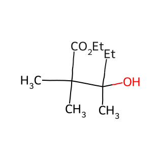 CCOC(=O)C(C)(C)C(C)(O)CC